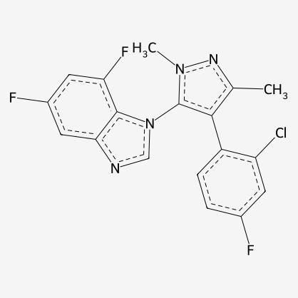 Cc1nn(C)c(-n2cnc3cc(F)cc(F)c32)c1-c1ccc(F)cc1Cl